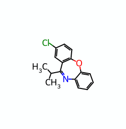 CC(C)C1=Nc2ccccc2Oc2ccc(Cl)cc21